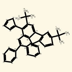 CC(C)(C)c1ccc2c(c1)-c1cc(C(C)(C)C)c(C3=CC=CC3)c(C=C(c3ccccc3)c3ccccc3)c1C2